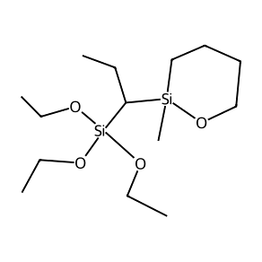 CCO[Si](OCC)(OCC)C(CC)[Si]1(C)CCCCO1